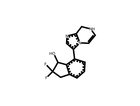 OC1c2c(cccc2-c2cnc3n2C=CNC3)CC1(F)F